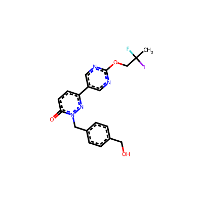 CC(F)(I)COc1ncc(-c2ccc(=O)n(Cc3ccc(CO)cc3)n2)cn1